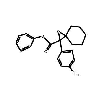 Cc1ccc(C2(C(=O)Oc3ccccc3)OC23CCCCC3)cc1